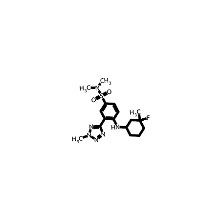 CN(C)S(=O)(=O)c1ccc(NC2CCCC(C)(F)C2)c(-c2nnn(C)n2)c1